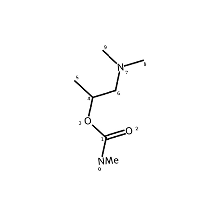 CNC(=O)OC(C)CN(C)C